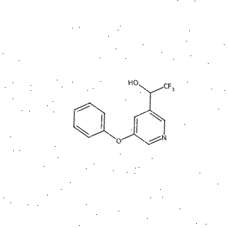 OC(c1cncc(Oc2ccccc2)c1)C(F)(F)F